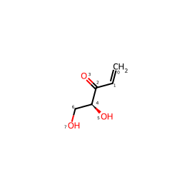 C=CC(=O)[C@@H](O)CO